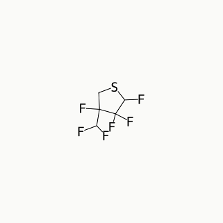 FC1SCC(F)(C(F)F)C1(F)F